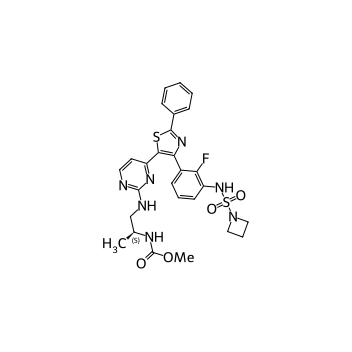 COC(=O)N[C@@H](C)CNc1nccc(-c2sc(-c3ccccc3)nc2-c2cccc(NS(=O)(=O)N3CCC3)c2F)n1